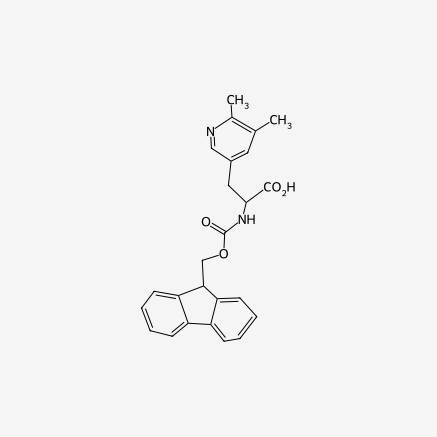 Cc1cc(CC(NC(=O)OCC2c3ccccc3-c3ccccc32)C(=O)O)cnc1C